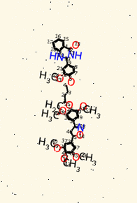 C=C(CCCOc1ccc(C2NC(=O)c3ccccc3N2)cc1OC)Oc1c(OC)cc(C2=NOC(c3cc(OC)c(OC)c(OC)c3)C2)cc1OC